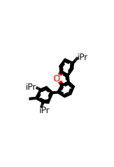 Cc1c(C(C)C)cc(-c2cccc3c2oc2ccc(C(C)C)cc23)cc1C(C)C